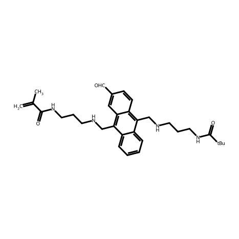 C=C(C)C(=O)NCCCNCc1c2ccccc2c(CNCCCNC(=O)C(C)(C)C)c2ccc(C=O)cc12